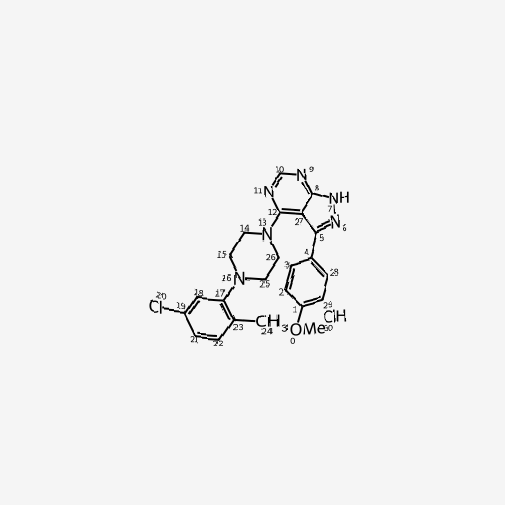 COc1ccc(-c2n[nH]c3ncnc(N4CCN(c5cc(Cl)ccc5C)CC4)c23)cc1.Cl